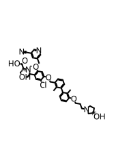 Cc1c(COc2cc(OCc3cncc(C#N)c3)c(C(C)N(C)[C@@H](CO)C(=O)O)cc2Cl)cccc1-c1cccc(OCCCN2CC[C@@H](O)C2)c1C